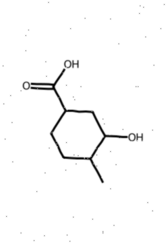 CC1CCC(C(=O)O)CC1O